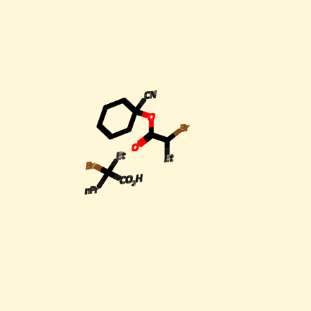 CCC(Br)C(=O)OC1(C#N)CCCCC1.CCCC(Br)(CC)C(=O)O